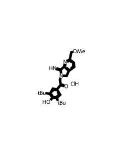 COCc1ccc2c(n1)C(=N)N(CC(=O)c1cc(C(C)(C)C)c(O)c(C(C)(C)C)c1)C2.Cl